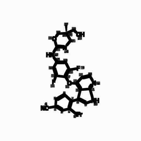 CC(C)c1cc(C#N)ccc1-c1c[nH]c2nccc(Oc3c(F)cc(NC4=NC[C@](C)(CO)CO4)cc3F)c12